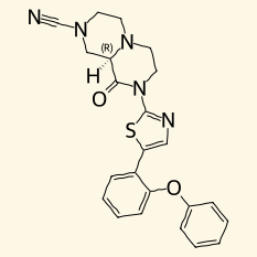 N#CN1CCN2CCN(c3ncc(-c4ccccc4Oc4ccccc4)s3)C(=O)[C@H]2C1